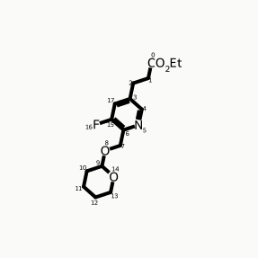 CCOC(=O)CCc1cnc(COC2CCCCO2)c(F)c1